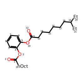 CCCCCCCCC(=O)Oc1ccccc1OC(=O)CCCCCCC(CC)CC